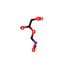 [O]C(CO)OCP=O